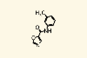 Cc1cccc(NC(=O)c2cnco2)c1